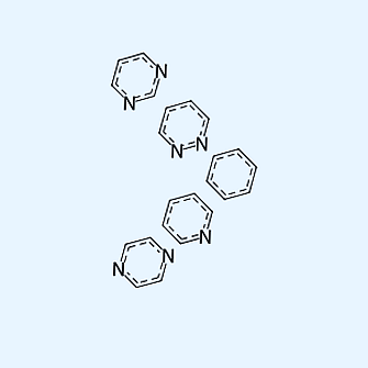 c1ccccc1.c1ccncc1.c1ccnnc1.c1cnccn1.c1cncnc1